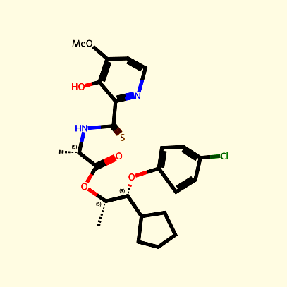 COc1ccnc(C(=S)N[C@@H](C)C(=O)O[C@@H](C)[C@H](Oc2ccc(Cl)cc2)C2CCCC2)c1O